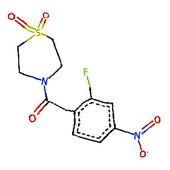 O=C(c1ccc([N+](=O)[O-])cc1F)N1CCS(=O)(=O)CC1